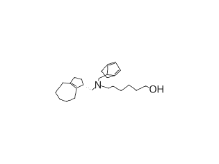 OCCCCCCN(CC1C2=CC=C1CC2)C[C@H]1CCC2=C1CCCCC2